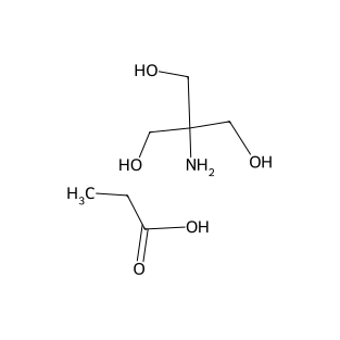 CCC(=O)O.NC(CO)(CO)CO